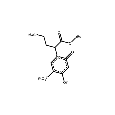 CCOC(=O)c1cn(C(CCOC)C(=O)OC(C)(C)C)c(=O)cc1O